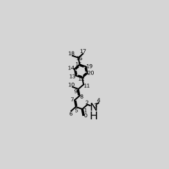 C=C(CNC)/C(C)=C\C=C(/C)Cc1ccc(C(C)C)cc1